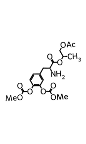 COC(=O)Oc1ccc(C[C@H](N)C(=O)O[C@H](C)COC(C)=O)cc1OC(=O)OC